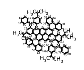 CC(C)c1ccc2c(c1)N(c1ccccc1)c1cc(C(C)C)cc3c1B2c1cc2c(-c4ccccc4-c4ccccc4)cc4c5c(cc6c(-c7ccccc7-c7ccccc7)cc-3c1c6c25)B1c2ccc(C(C)C)cc2N(c2ccccc2)c2cc(C(C)C)cc-4c21